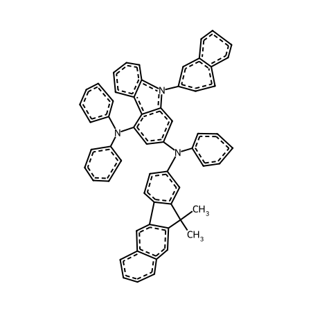 CC1(C)c2cc(N(c3ccccc3)c3cc(N(c4ccccc4)c4ccccc4)c4c5ccccc5n(-c5ccc6ccccc6c5)c4c3)ccc2-c2cc3ccccc3cc21